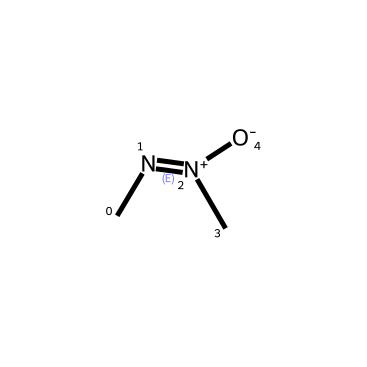 C/N=[N+](\C)[O-]